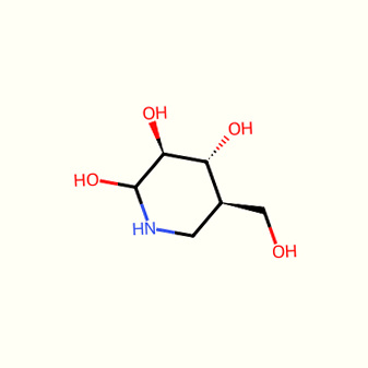 OC[C@H]1CNC(O)[C@@H](O)[C@@H]1O